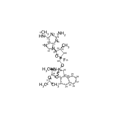 CNc1nc(N)nc2c1ncn2[C@@H]1O[C@](F)(COP(=S)(Cc2cccc3ccccc23)N[C@H](C)C(=O)OC(C)C)C[C@@H]1C